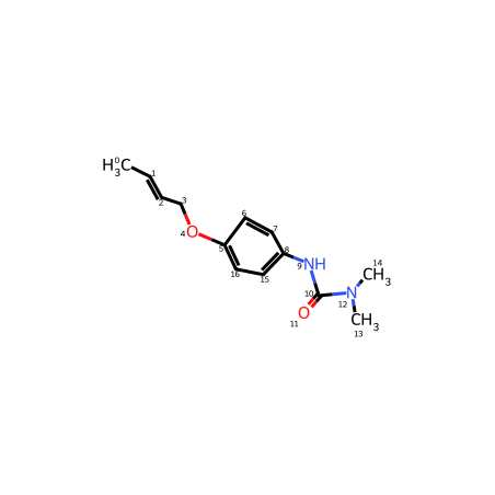 CC=CCOc1ccc(NC(=O)N(C)C)cc1